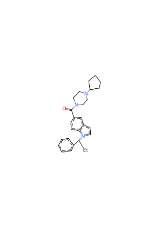 CCC(c1ccccc1)n1ccc2cc(C(=O)N3CCN(C4CCCC4)CC3)ccc21